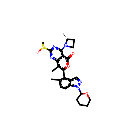 Cc1ccc2c(cnn2C2CCCCO2)c1-c1oc(=O)c2c(N3CC[C@H]3C)nc([S+](C)[O-])nc2c1C